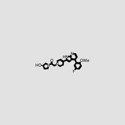 COc1ccc(F)cc1-c1ccnc2[nH]c(C3=CCN(CC(=O)N4CC[C@@H](O)C4)CC3)cc12